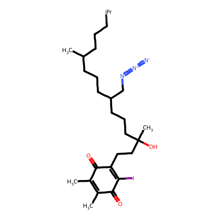 CC1=C(C)C(=O)C(CCC(C)(O)CCCC(CCCC(C)CCCC(C)C)CN=[N+]=[N-])=C(I)C1=O